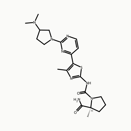 Cc1nc(NC(=O)N2CCC[C@@]2(C)C(N)=O)sc1-c1ccnc(N2CCC(N(C)C)C2)n1